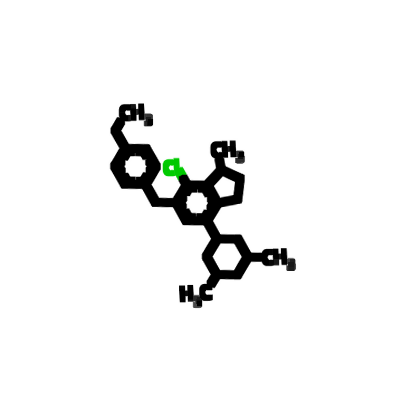 CCc1ccc(Cc2cc(C3CC(C)CC(C)C3)c3c(c2Cl)C(C)CC3)cc1